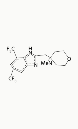 CNC1(Cc2nc3cc(C(F)(F)F)cc(C(F)(F)F)c3[nH]2)CCOCC1